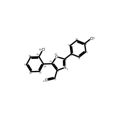 O=Cc1nc(-c2ccc(Cl)cc2)oc1-c1ccccc1Cl